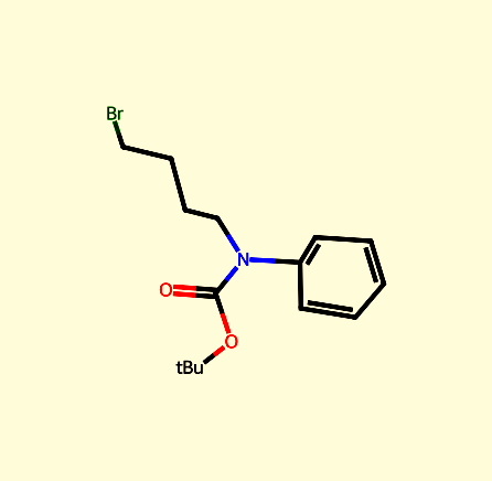 CC(C)(C)OC(=O)N(CCCCBr)c1ccccc1